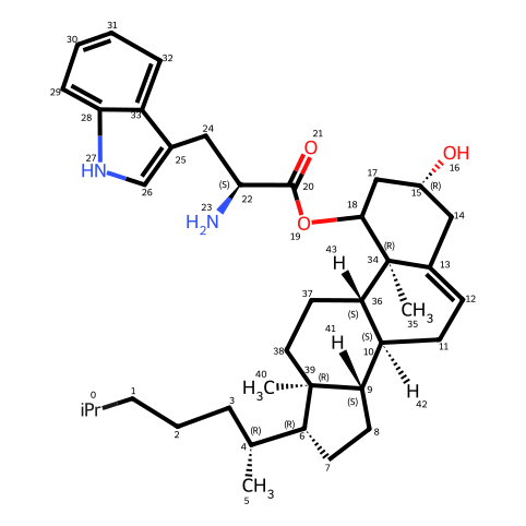 CC(C)CCC[C@@H](C)[C@H]1CC[C@H]2[C@@H]3CC=C4C[C@@H](O)CC(OC(=O)[C@@H](N)Cc5c[nH]c6ccccc56)[C@]4(C)[C@H]3CC[C@]12C